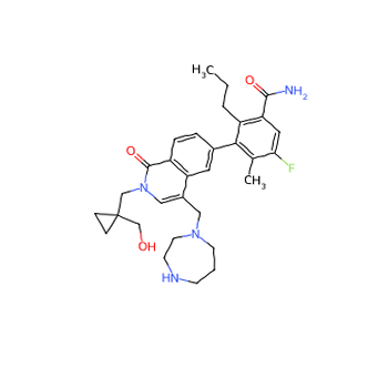 CCCc1c(C(N)=O)cc(F)c(C)c1-c1ccc2c(=O)n(CC3(CO)CC3)cc(CN3CCCNCC3)c2c1